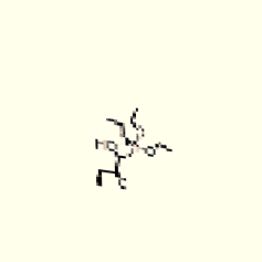 C=CC(=O)C(O)C[Si](OCC)(OCC)OCC